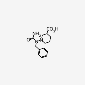 NC(=O)N(Cc1ccccc1)N1CCCC(C(=O)O)C1